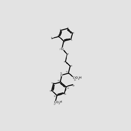 Cc1ccccc1OCCCC(Oc1ccc(C(=O)O)cc1C)C(=O)O